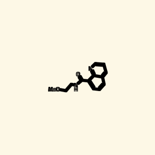 COCCNC(=O)c1cccc2cccnc12